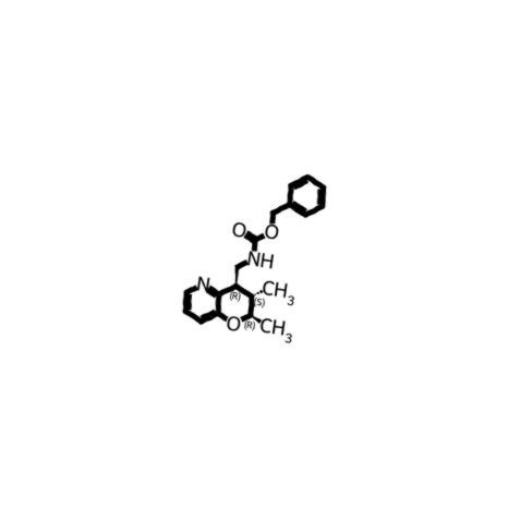 C[C@H]1[C@H](CNC(=O)OCc2ccccc2)c2ncccc2O[C@@H]1C